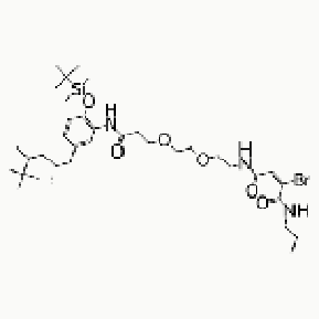 CCCNC(=O)/C(Br)=C\C(=O)NCCOCCOCCC(=O)Nc1cc(C[C@H](C)CC(C)C(C)(C)C)ccc1O[Si](C)(C)C(C)(C)C